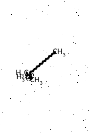 CCCCCCCCCCCCCCCCCC(OC(C)=O)N(C)C